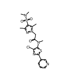 Cc1nn(CC(=O)N(C)c2sc(-c3cccnc3)nc2Cl)c(C)c1S(=O)(=O)N(C)C